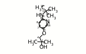 CC(C)(O)COc1ccc(NC(C)(C)C)nc1